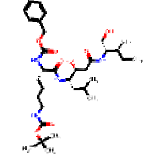 CC[C@H](C)[C@@H](CO)NC(=O)C[C@H](O)[C@H](CC(C)C)NC(=O)[C@H](CCCCNC(=O)OC(C)(C)C)NC(=O)OCc1ccccc1